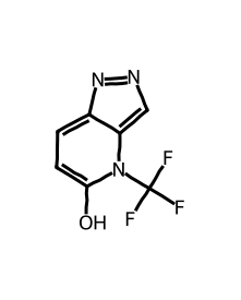 Oc1ccc2nncc-2n1C(F)(F)F